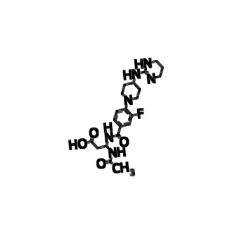 CC(=O)NC(CC(=O)O)NC(=O)c1ccc(N2CCC(NC3=NCCCN3)CC2)c(F)c1